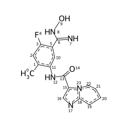 Cc1cc(F)c(C(=N)NO)cc1NC(=O)c1cnc2ccccn12